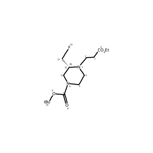 CCOC(=O)CCN1CCN(C(=O)OC(C)(C)C)C[C@@H]1CF